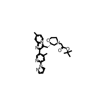 Cc1ccn2c(C[C@H]3CN(CC(=O)OC(C)(C)C)CCO3)c(-c3cnc(-n4cccn4)cc3C)nc2c1